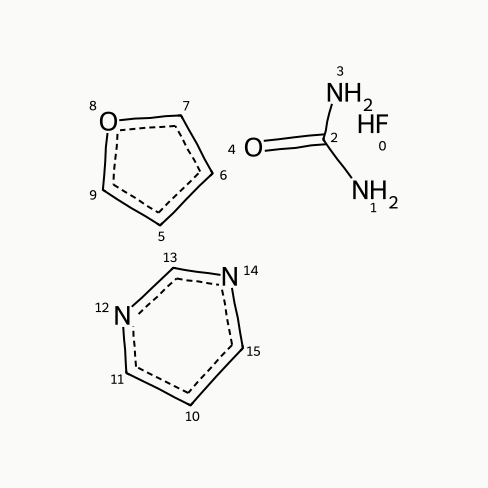 F.NC(N)=O.c1ccoc1.c1cncnc1